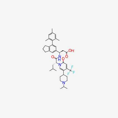 Cc1cc(C)c(-c2cc([C@@H](CC(=O)O)NC(=O)[C@@H](CC(C)C)n3cc(C4CCN(C(C)C)CC4)c(C(F)(F)F)cc3=O)cc3c2CCC3)c(C)c1